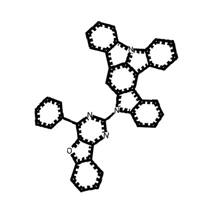 c1ccc(-c2nc(-n3c4ccccc4c4c5c6ccccc6n6c7ccccc7c(cc43)c56)nc3c2oc2ccccc23)cc1